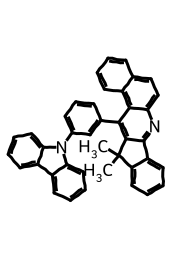 CC1(C)c2ccccc2-c2nc3ccc4ccccc4c3c(-c3cccc(-n4c5ccccc5c5ccccc54)c3)c21